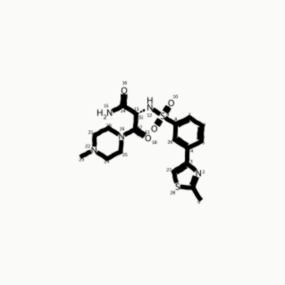 Cc1nc(-c2cccc(S(=O)(=O)N[C@@H](C(N)=O)C(=O)N3CCN(C)CC3)c2)cs1